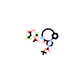 CC(=O)OC(F)(F)F.CC(C)(C)OC(=O)N1CCN2c3cccc(c3)CCCCCCNC(=O)C2C1.O=C(O)CC(F)(F)F